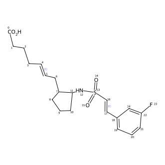 O=C(O)CCC/C=C/CC1CCCC1NS(=O)(=O)/C=C/c1cccc(F)c1